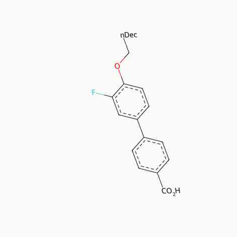 CCCCCCCCCCCOc1ccc(-c2ccc(C(=O)O)cc2)cc1F